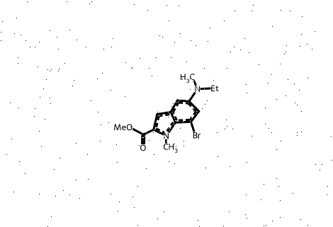 CCN(C)c1cc(Br)c2c(c1)cc(C(=O)OC)n2C